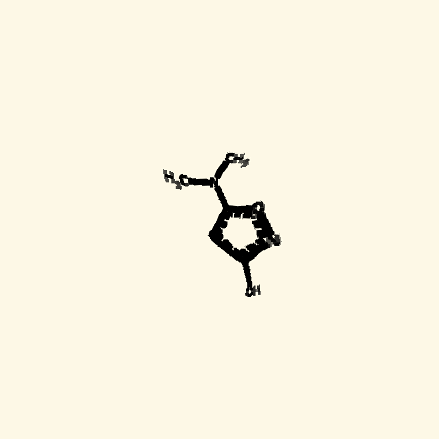 CN(C)c1cc(O)no1